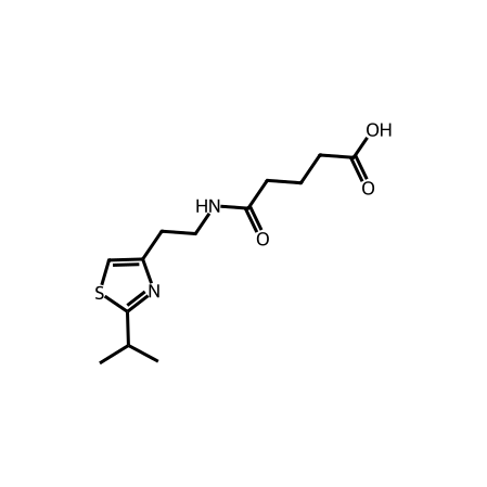 CC(C)c1nc(CCNC(=O)CCCC(=O)O)cs1